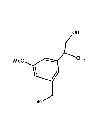 [CH2]C(CO)c1cc(CC(C)C)cc(OC)c1